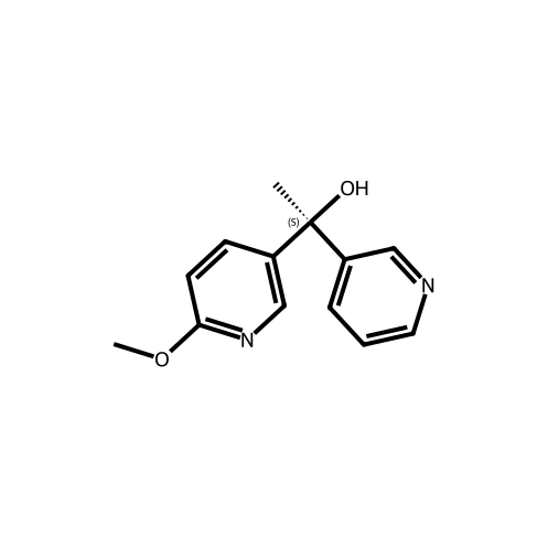 COc1ccc([C@@](C)(O)c2cccnc2)cn1